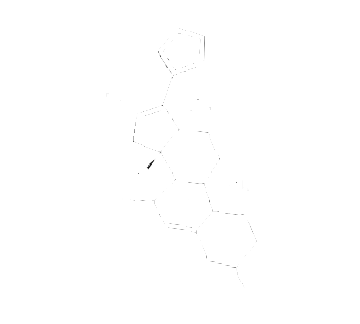 CC1C=C2CC(O)CC[C@]2(C)[C@@H]2CC[C@]3(C)C(c4ccco4)=C(O)C[C@H]3[C@H]12